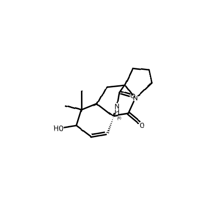 CC1(C)C(O)C=C[C@]23NC(=O)C4(CCCN4C2=O)CC13